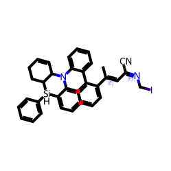 C/C(=C\C(C#N)=N/CI)c1ccccc1-c1ccccc1N1c2ccccc2[SiH](c2ccccc2)C2CCC=CC21